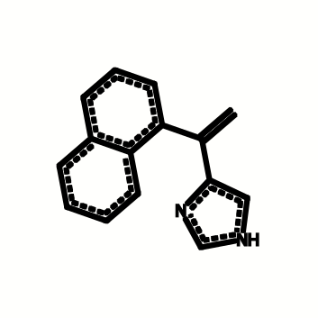 C=C(c1c[nH]cn1)c1cccc2ccccc12